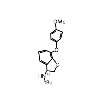 COc1ccc(Oc2cccc3c2OC[C@H]3NC(C)(C)C)cc1